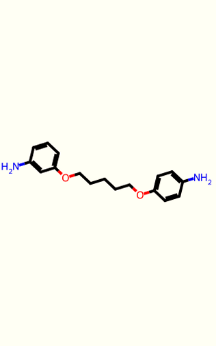 Nc1ccc(OCCCCCOc2cccc(N)c2)cc1